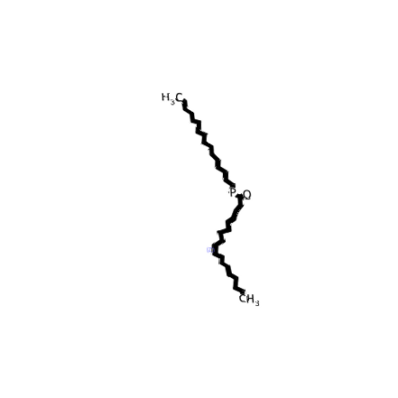 CCCCCCCC/C=C\CCCCCCCC(=O)[P]CCCCCCCCCCCCCCCC